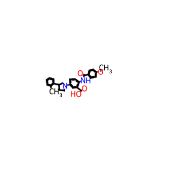 COc1ccc(C(=O)Nc2ccc(N3CCC(c4ccccc4C)C3)cc2C(=O)O)cc1